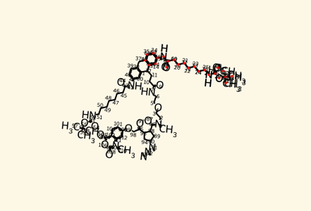 CN(CCOCCNC(=O)CCC12c3cc(NC(=O)CCCCCCCNC(=O)OC(C)(C)C)ccc3C(c3ccc(NC(=O)CCCCCCCNC(=O)OC(C)(C)C)cc31)c1ccc(NC(=O)CCCCCCCNC(=O)OC(C)(C)C)cc12)C(=O)C1CC(N=[N+]=[N-])CC1C(=O)COc1ccc2c(=O)oc(=O)n(C)c2c1